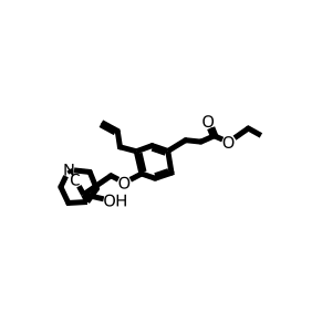 C=CCc1cc(CCC(=O)OCC)ccc1OCC1(O)CN2CCC1CC2